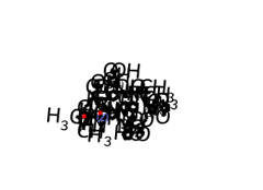 C/C(NCC12CC3(C)CC(C)(C1)CC(OCCN(CCS(=O)(=O)O)C(=O)OCc1ccc(NC(=O)CNC(=O)[C@@H](NC(=O)CN4C(=O)[C@@H](N5C(=O)C=CC5=O)C[C@H]4COCCS(=O)(=O)O)C(C)C)cc1CC[C@H]1C[C@@H](O)C[C@@H](C(=O)O)O1)(C3)C2)=C(/C=N)c1ccc(N2CCc3cccc(C(=O)Nc4nc5ccccc5s4)c3C2)nc1C(=O)O